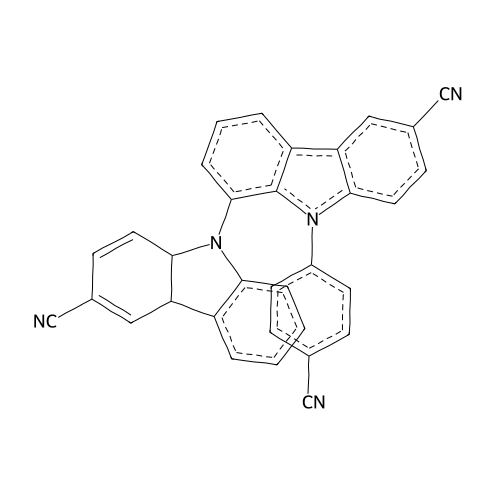 N#CC1=CC2c3ccccc3N(c3cccc4c5cc(C#N)ccc5n(-c5ccc(C#N)cc5)c34)C2C=C1